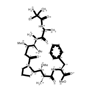 CC[C@H](C)[C@@H]([C@@H](CC(=O)N1CCC[C@H]1[C@H](OC)[C@@H](C)C(=O)N[C@@H](Cc1ccccc1)C(=O)OC)OC)N(C)C(=O)[C@H](C)NC(=O)C(C)(N)CC